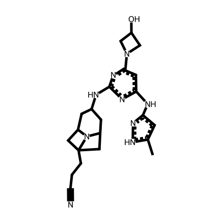 Cc1cc(Nc2cc(N3CC(O)C3)nc(NC3CC4CC5(CCC#N)CC(C3)N45)n2)n[nH]1